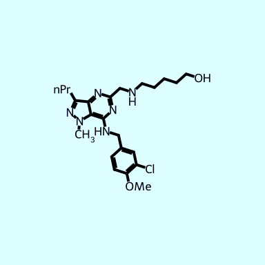 CCCc1nn(C)c2c(NCc3ccc(OC)c(Cl)c3)nc(CNCCCCCO)nc12